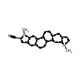 Cn1ccc2cc3ccc4c5cc6c(cc(C#N)n6C)cc5ccc4c3cc21